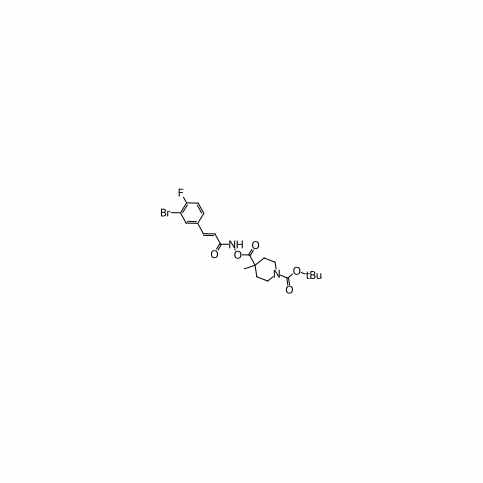 CC(C)(C)OC(=O)N1CCC(C)(C(=O)ONC(=O)C=Cc2ccc(F)c(Br)c2)CC1